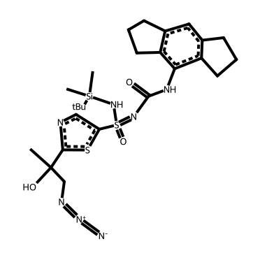 CC(O)(CN=[N+]=[N-])c1ncc(S(=O)(=NC(=O)Nc2c3c(cc4c2CCC4)CCC3)N[Si](C)(C)C(C)(C)C)s1